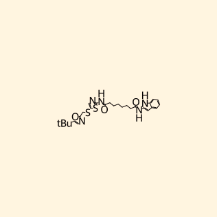 CC(C)(C)c1cnc(CSc2cnc(NC(=O)CCCCCCC(=O)Nc3cc4ccccc4[nH]3)s2)o1